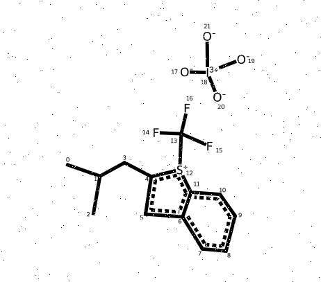 CC(C)Cc1cc2ccccc2[s+]1C(F)(F)F.[O-][I+3]([O-])([O-])[O-]